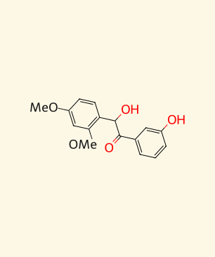 COc1ccc(C(O)C(=O)c2cccc(O)c2)c(OC)c1